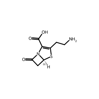 NCCC1=C(C(=O)O)N2C(=O)C[C@@H]2S1